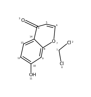 ClCCl.O=c1ccoc2cc(O)ccc12